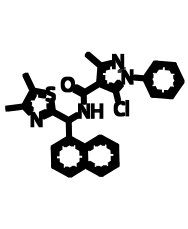 Cc1nc(C(NC(=O)c2c(C)nn(-c3ccccc3)c2Cl)c2cccc3ccccc23)sc1C